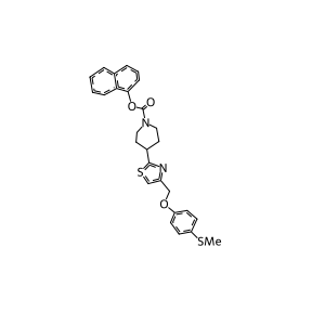 CSc1ccc(OCc2csc(C3CCN(C(=O)Oc4cccc5ccccc45)CC3)n2)cc1